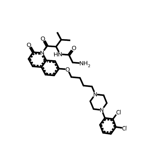 CC(C)C(NC(=O)CN)C(=O)n1c(=O)ccc2ccc(OCCCCN3CCN(c4cccc(Cl)c4Cl)CC3)cc21